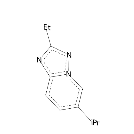 CCc1nc2ccc(C(C)C)cn2n1